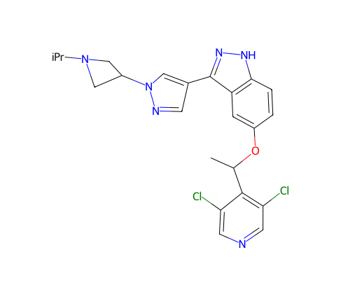 CC(Oc1ccc2[nH]nc(-c3cnn(C4CN(C(C)C)C4)c3)c2c1)c1c(Cl)cncc1Cl